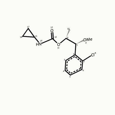 CO[C@H](c1ccccc1Cl)[C@@H](C)OC(=O)NC1CC1